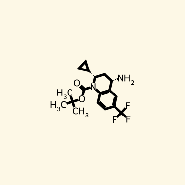 CC(C)(C)OC(=O)N1c2ccc(C(F)(F)F)cc2[C@@H](N)C[C@H]1C1CC1